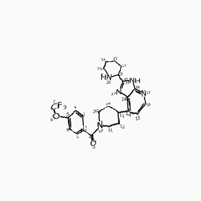 O=C(c1ccc(OC(F)(F)F)cc1)N1CCC(c2ccnc3[nH]c(C4CCCCN4)nc23)CC1